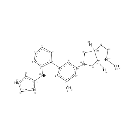 Cc1cc(-c2ccccc2Nc2nc[nH]n2)cc(N2C[C@H]3CCN(C)[C@H]3C2)c1